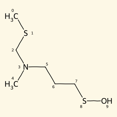 CSCN(C)CCCSO